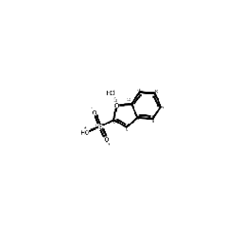 Cl.O=S(=O)(O)c1cc2ccccc2o1